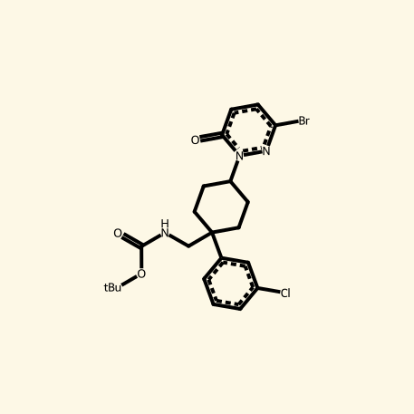 CC(C)(C)OC(=O)NCC1(c2cccc(Cl)c2)CCC(n2nc(Br)ccc2=O)CC1